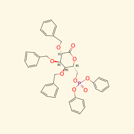 O=C1O[C@H](COP(=O)(Oc2ccccc2)Oc2ccccc2)[C@@H](OCc2ccccc2)[C@@H](OCc2ccccc2)[C@@H]1OCc1ccccc1